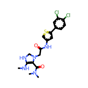 CNC1=C(C(=O)N(C)C)N(CC(=O)Nc2csc(-c3ccc(Cl)c(Cl)c3)c2)CN1